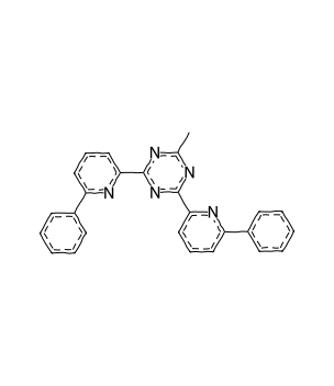 Cc1nc(-c2cccc(-c3ccccc3)n2)nc(-c2cccc(-c3ccccc3)n2)n1